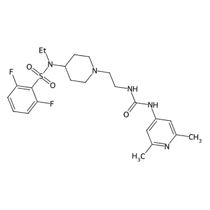 CCN(C1CCN(CCNC(=O)Nc2cc(C)nc(C)c2)CC1)S(=O)(=O)c1c(F)cccc1F